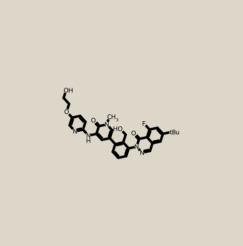 Cn1cc(-c2cccc(-n3ncc4cc(C(C)(C)C)cc(F)c4c3=O)c2CO)cc(Nc2ccc(OCCO)cn2)c1=O